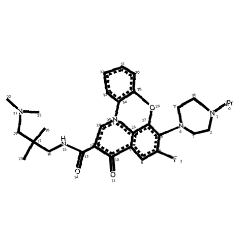 CC(C)N1CCN(c2c(F)cc3c(=O)c(C(=O)NCC(C)(C)CN(C)C)cn4c3c2Oc2ccccc2-4)CC1